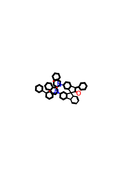 C1=CC2c3ccc(N(c4ccccc4)c4cccc(-c5ccccc5)c4)cc3C3(c4cc(N(c5ccccc5)c5cccc6ccccc56)ccc4-c4c3oc3ccccc43)C2C=C1